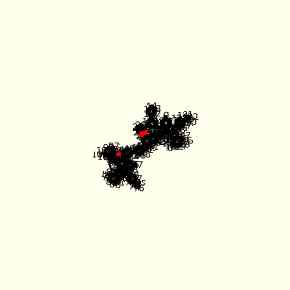 Cc1cc2c3c(c1)N(c1cc(-c4ccccc4)cc(-c4ccccc4)c1)c1c(oc4cc5c(cc14)C(C)(C)CCC5(C)Cc1ccc(-c4ccc(C)c(N5c6cc(C)cc7c6B(c6cc8c(cc6N7c6ccc(C(C)(C)C)cc6)C(C)(C)CCC8(C)C)c6oc7cc8c(cc7c65)C(C)(C)CCC8(C)C)c4)cc1)B3c1cc3c(cc1N2c1ccc(C(C)(C)C)cc1)C(C)(C)CCC3(C)C